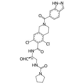 O=C[C@H](CNC(=O)N1CCCC1)NC(=O)c1c(Cl)cc2c(c1Cl)CCN(C(=O)c1ccc3cn[nH]c3c1)C2